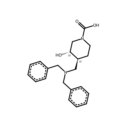 O=C(O)N1CC[C@@H](CN(Cc2ccccc2)Cc2ccccc2)[C@H](O)C1